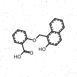 O=C(O)c1ccccc1OCc1c(O)ccc2ccccc12